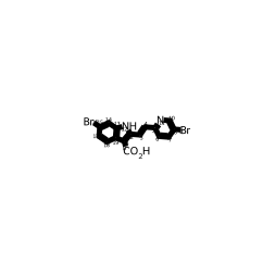 O=C(O)c1c(C=Cc2ccc(Br)cn2)[nH]c2cc(Br)ccc12